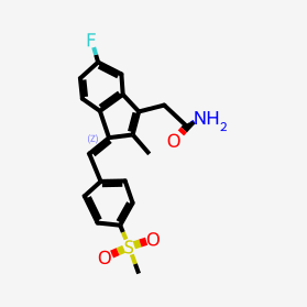 CC1=C(CC(N)=O)c2cc(F)ccc2/C1=C/c1ccc(S(C)(=O)=O)cc1